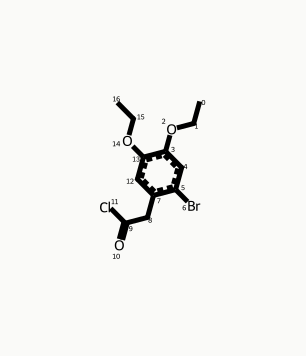 CCOc1cc(Br)c(CC(=O)Cl)cc1OCC